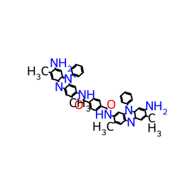 CC1=CC2=Nc3cc(C)c(NC(=O)c4ccc(C(=O)Nc5cc6c(cc5C)nc5cc(C)c(N)cc5[n+]6-c5ccccc5)cc4)cc3N(c3ccccc3)C2C=C1N